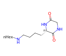 [CH2]CCCCCNCCCC[C@@H]1NC(=O)CNC1=O